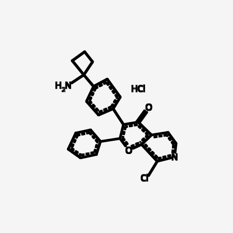 Cl.NC1(c2ccc(-c3c(-c4ccccc4)oc4c(Cl)nccc4c3=O)cc2)CCC1